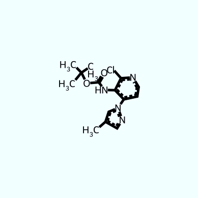 Cc1cnn(-c2ccnc(Cl)c2NC(=O)OC(C)(C)C)c1